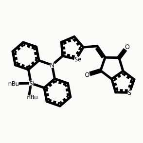 CCCC[Si]1(CCCC)c2ccccc2N(c2ccc(C=C3C(=O)c4cscc4C3=O)[se]2)c2ccccc21